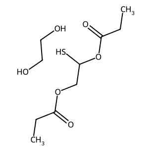 CCC(=O)OCC(S)OC(=O)CC.OCCO